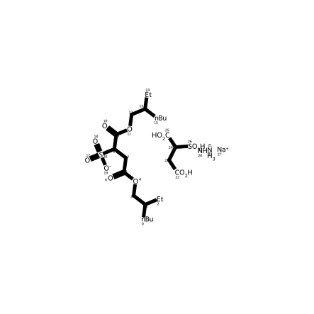 CCCCC(CC)COC(=O)CC(C(=O)OCC(CC)CCCC)S(=O)(=O)[O-].N.N.O=C(O)CC(C(=O)O)S(=O)(=O)O.[Na+]